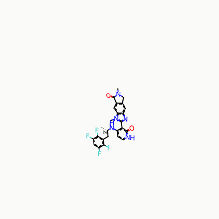 C[C@@H](Cc1c(F)c(F)cc(F)c1F)Nc1cc[nH]c(=O)c1-c1nc2cc3c(cc2n1C)C(=O)N(C)C3